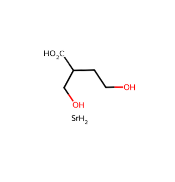 O=C(O)C(CO)CCO.[SrH2]